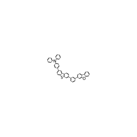 c1ccc(N(c2ccccc2)c2ccc(-c3ccc4sc5cc(-c6cccc(-c7ccc8c(c7)oc7ccccc78)c6)ccc5c4c3)cc2)cc1